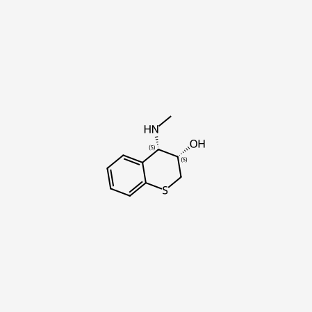 CN[C@H]1c2ccccc2SC[C@H]1O